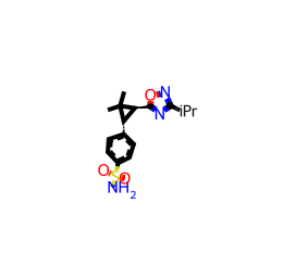 CC(C)c1noc([C@H]2[C@H](c3ccc(S(N)(=O)=O)cc3)C2(C)C)n1